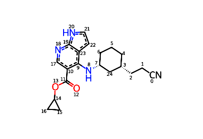 N#CCC[C@H]1CCC[C@@H](Nc2c(C(=O)OC3CC3)cnc3[nH]ccc23)C1